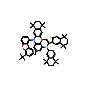 Cc1cc2c3c(c1)N(C1C=C4C(=CC1)C(C)(C)CCC4(C)C)c1c(sc4cc5c(cc14)C(C)(C)CCC5(C)C)B3c1cc3c(cc1N2c1cccc2oc4c(C(C)(C)C)cccc4c12)C(C)(C)CCC3(C)C